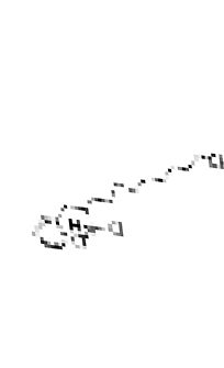 CCCCCCCCCCC(Cc1ccccc1)[SiH](Cl)Cl